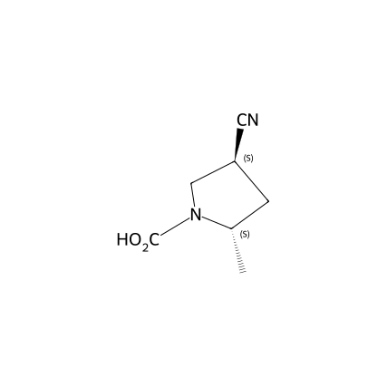 C[C@H]1C[C@H](C#N)CN1C(=O)O